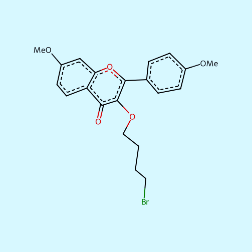 COc1ccc(-c2oc3cc(OC)ccc3c(=O)c2OCCCCBr)cc1